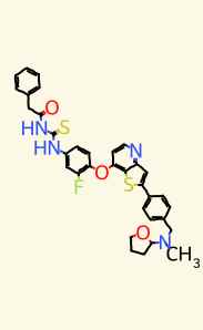 CN(Cc1ccc(-c2cc3nccc(Oc4ccc(NC(=S)NC(=O)Cc5ccccc5)cc4F)c3s2)cc1)C1CCCO1